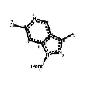 CCC[C@H](C)n1nc(C)c2cnc(Cl)cc21